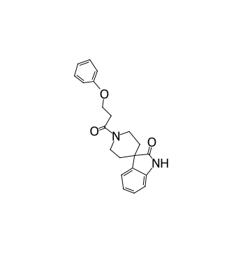 O=C(CCOc1ccccc1)N1CCC2(CC1)C(=O)Nc1ccccc12